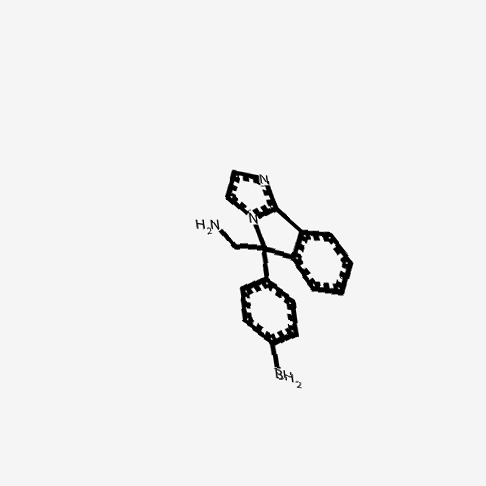 Bc1ccc(C2(CN)c3ccccc3-c3nccn32)cc1